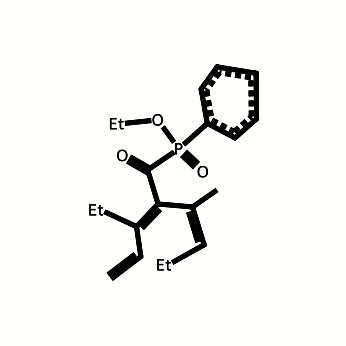 C=C/C(CC)=C(C(=O)P(=O)(OCC)c1ccccc1)\C(C)=C/CC